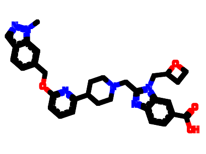 Cn1ncc2ccc(COc3cccc(C4CCN(Cc5nc6ccc(C(=O)O)cc6n5CC5CCO5)CC4)n3)cc21